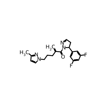 C=C(CCCn1ccc(C)n1)C(=O)N1N=CCC1c1cc(F)cc(F)c1